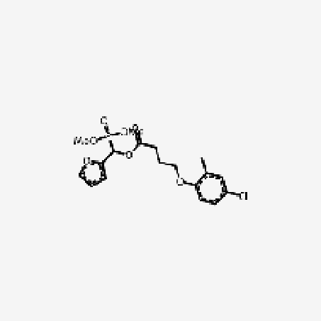 COP(=O)(OC)C(OC(=O)CCCOc1ccc(Cl)cc1C)c1ccco1